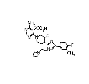 Cc1cc(-c2cn(CCN3CCC3)c([C@@H]3CCN(c4ncnc(N)c4C(=O)O)C[C@@H]3F)n2)ccc1F